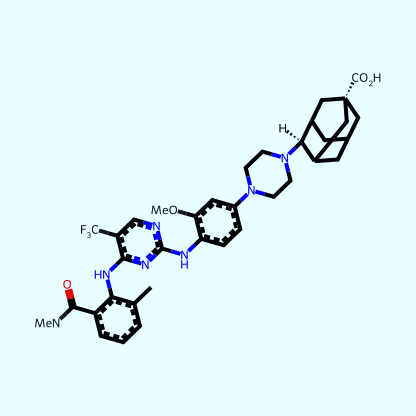 CNC(=O)c1cccc(C)c1Nc1nc(Nc2ccc(N3CCN([C@H]4C5CC6CC4C[C@](C(=O)O)(C6)C5)CC3)cc2OC)ncc1C(F)(F)F